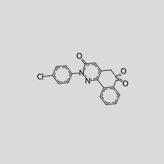 O=c1cc2c(nn1-c1ccc(Cl)cc1)-c1ccccc1S(=O)(=O)C2